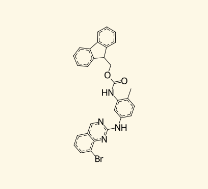 Cc1ccc(Nc2ncc3cccc(Br)c3n2)cc1NC(=O)OCC1c2ccccc2-c2ccccc21